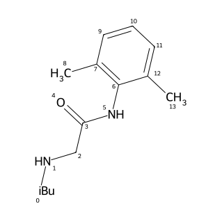 CCC(C)NCC(=O)Nc1c(C)cccc1C